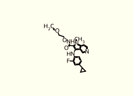 C=COCCONC(=O)c1c(Nc2ccc(C3CC3)cc2F)c2cnccc2n1C